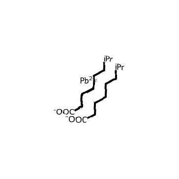 CC(C)CCCCCC(=O)[O-].CC(C)CCCCCC(=O)[O-].[Pb+2]